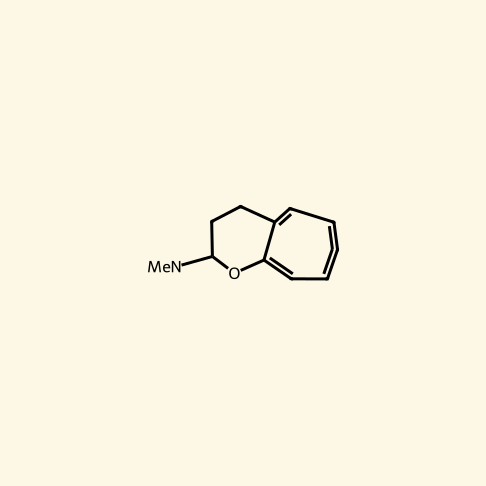 CNC1CCC2=CC=C=CC=C2O1